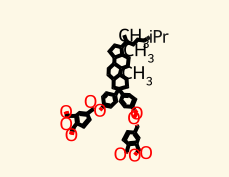 CC(C)CCCC(C)C1CCC2C3CCC4CC(c5ccc(OOCc6ccc7c(c6)C(=O)OC7=O)cc5)(c5ccc(OC(=O)c6ccc7c(c6)C(=O)OC7=O)cc5)CCC4(C)C3CCC12C